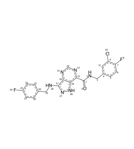 O=C(NCc1ccc(F)c(Cl)c1)c1ncnc2c(NCc3ccc(F)cc3)n[nH]c12